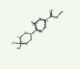 COC(=O)c1cnc(N2CCC(F)(F)CC2)c(C)c1